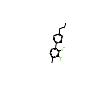 CCCc1ccc(-c2ccc(C)c(F)c2F)cc1